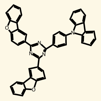 c1ccc2c(c1)oc1ccc(-c3nc(-c4ccc(-n5c6ccccc6c6ccccc65)cc4)nc(-c4ccc5oc6ccccc6c5c4)n3)cc12